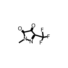 CN1N=C(C(F)(F)F)C(=O)C1=O